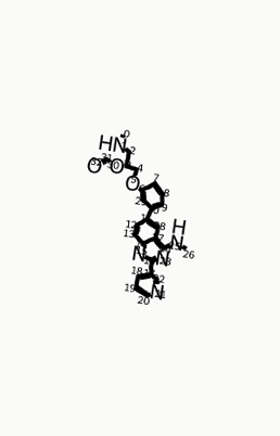 CNCC(COc1cccc(-c2ccc3nc(-c4cccnc4)nc(NC)c3c2)c1)OC=O